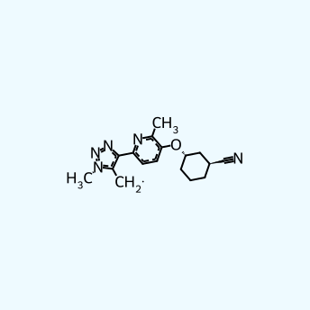 [CH2]c1c(-c2ccc(O[C@H]3CCC[C@H](C#N)C3)c(C)n2)nnn1C